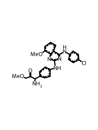 COCC(=O)C(N)c1ccc(Nc2nc(Nc3ccc(Cl)cc3)c3cccc(OC)c3n2)cc1